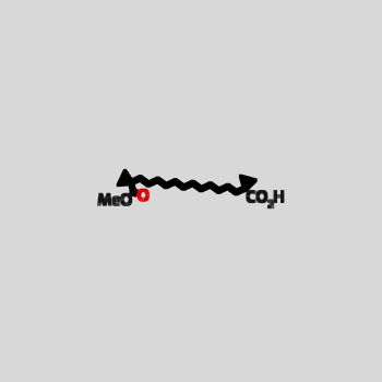 COC(=O)C1(CCCCCCCCCCCCC2(C(=O)O)CC2)CC1